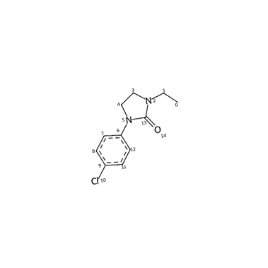 CCN1CCN(c2ccc(Cl)cc2)C1=O